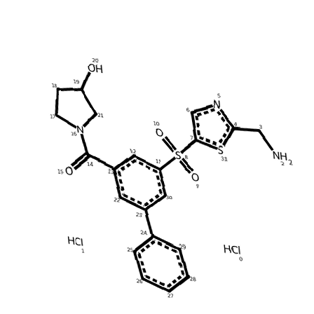 Cl.Cl.NCc1ncc(S(=O)(=O)c2cc(C(=O)N3CCC(O)C3)cc(-c3ccccc3)c2)s1